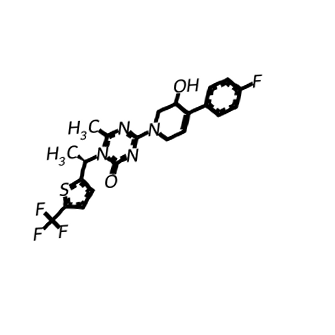 Cc1nc(N2CC=C(c3ccc(F)cc3)C(O)C2)nc(=O)n1[C@H](C)c1ccc(C(F)(F)F)s1